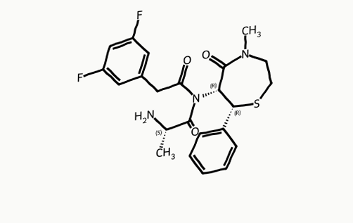 C[C@H](N)C(=O)N(C(=O)Cc1cc(F)cc(F)c1)[C@@H]1C(=O)N(C)CCS[C@@H]1c1ccccc1